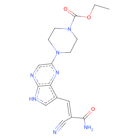 CCOC(=O)N1CCN(c2cnc3[nH]cc(/C=C(\C#N)C(N)=O)c3n2)CC1